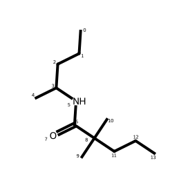 CCCC(C)NC(=O)C(C)(C)CCC